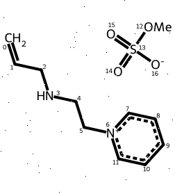 C=CCNCC[n+]1ccccc1.COS(=O)(=O)[O-]